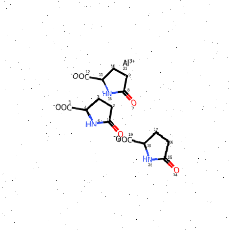 O=C1CCC(C(=O)[O-])N1.O=C1CCC(C(=O)[O-])N1.O=C1CCC(C(=O)[O-])N1.[Al+3]